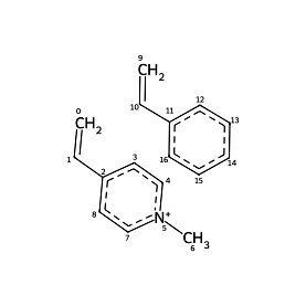 C=Cc1cc[n+](C)cc1.C=Cc1ccccc1